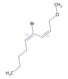 CCCC/C=C(Br)\C=C/COC